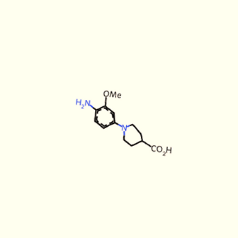 COc1cc(N2CCC(C(=O)O)CC2)ccc1N